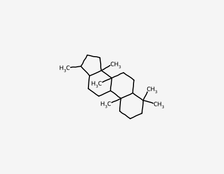 CC1CCC2(C)C1CCC1C3(C)CCCC(C)(C)C3CCC12C